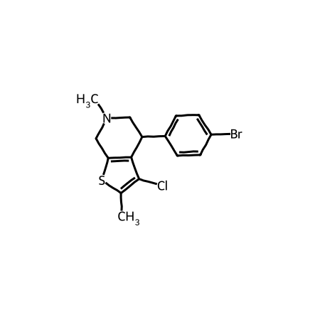 Cc1sc2c(c1Cl)C(c1ccc(Br)cc1)CN(C)C2